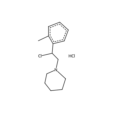 Cc1ccccc1C(Cl)CN1CCCCC1.Cl